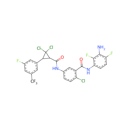 Nc1c(F)ccc(NC(=O)c2cc(NC(=O)C3C(c4cc(F)cc(C(F)(F)F)c4)C3(Cl)Cl)ccc2Cl)c1F